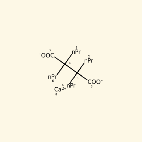 CCCC(CCC)(C(=O)[O-])C(CCC)(CCC)C(=O)[O-].[Ca+2]